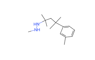 CNNC(C)(C)CC(C)(C)c1cccc(C)c1